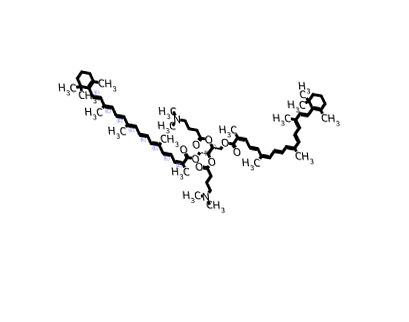 CC(C=CC=C(C)C=CC1=C(C)CCCC1(C)C)=CC=CC=C(C)C=CC=C(C)C(=O)OC[C@H](OC(=O)CCCN(C)C)[C@@H](COC(=O)\C(C)=C/C=C/C(C)=C/C=C/C=C(C)/C=C/C=C(C)/C=C/C1=C(C)CCCC1(C)C)OC(=O)CCCN(C)C